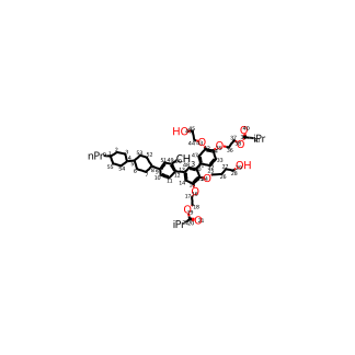 CCCC1CCC(C2CCC(c3ccc(-c4cc(OCCOC(=O)C(C)C)c(OCCCCO)c(-c5ccc(OCCOC(=O)C(C)C)c(OCCO)c5)c4)c(C)c3)CC2)CC1